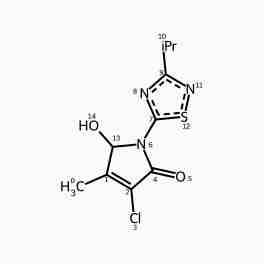 CC1=C(Cl)C(=O)N(c2nc(C(C)C)ns2)C1O